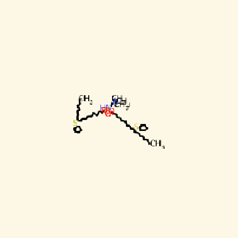 CCCCCCCCC(CCCCCCCCCOP(=O)(NCC[N+](C)(C)C)OCCCCCCCCCC(CCCCCCCC)SC1CCCCC1)SC1CCCCC1